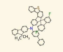 CC1(C)c2ccccc2-c2ccc(N(c3ccc(-c4ccccc4)cc3)c3ccc4c(c3)C3(c5cc(F)ccc5-c5ccc(F)cc53)c3ccc5sc6ccccc6c5c3-4)cc21